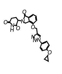 O=C1CCC(N2Cc3c(OCc4cn(-c5ccc(OC6CC6)cc5)nn4)cccc3C2=O)C(=O)N1